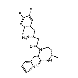 C[C@@H]1CCN(C(=O)CC(N)Cc2cc(F)c(F)cc2F)C(Cc2ccccn2)C(=O)N1